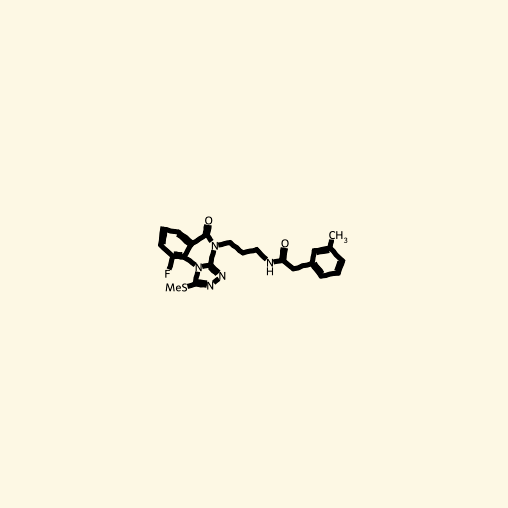 CSc1nnc2n(CCCNC(=O)Cc3cccc(C)c3)c(=O)c3cccc(F)c3n12